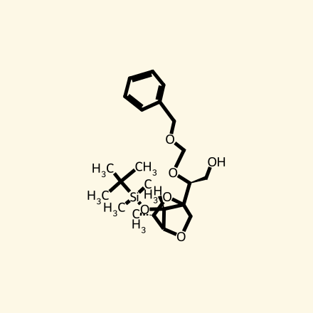 C[C@@H]1OC2([C@H](CO)OCOCc3ccccc3)COC1[C@@H]2O[Si](C)(C)C(C)(C)C